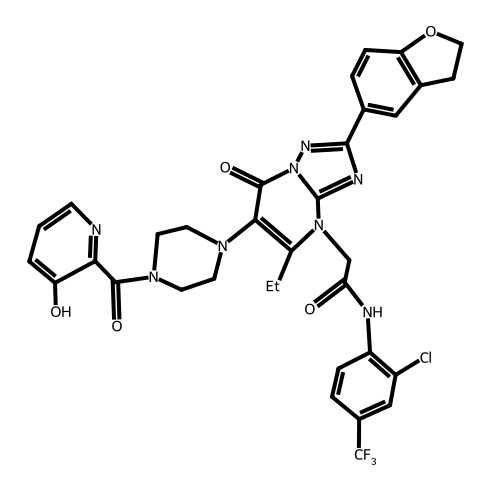 CCc1c(N2CCN(C(=O)c3ncccc3O)CC2)c(=O)n2nc(-c3ccc4c(c3)CCO4)nc2n1CC(=O)Nc1ccc(C(F)(F)F)cc1Cl